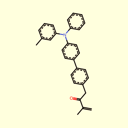 C=C(C)C(=O)Cc1ccc(-c2ccc(N(c3ccccc3)c3cccc(C)c3)cc2)cc1